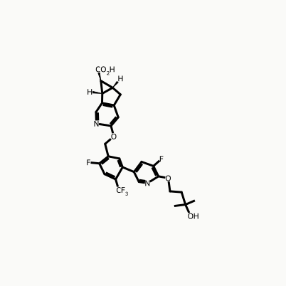 CC(C)(O)CCOc1ncc(-c2cc(COc3cc4c(cn3)[C@H]3[C@@H](C4)[C@@H]3C(=O)O)c(F)cc2C(F)(F)F)cc1F